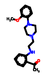 COc1ccccc1N1CCN(CCNc2ccccc2C(C)=O)CC1